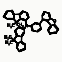 CC1(C)c2ccccc2-c2cc(N(c3cccc(-c4cccc5oc6ccccc6c45)c3)c3cccc4c3C(C)(C)c3ccccc3-4)ccc21